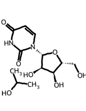 CC(C)O.O=c1ccn([C@@H]2O[C@H](CO)[C@@H](O)[C@H]2O)c(=O)[nH]1